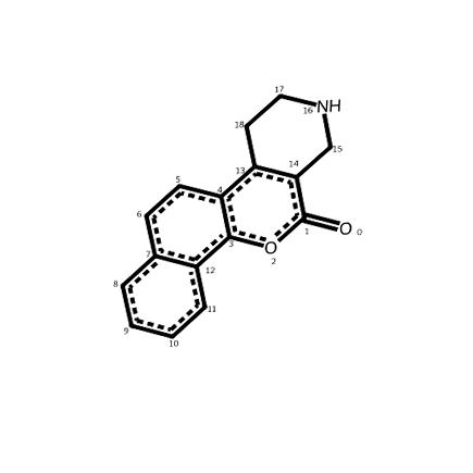 O=c1oc2c(ccc3ccccc32)c2c1CNCC2